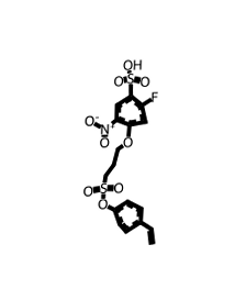 C=Cc1ccc(OS(=O)(=O)CCCOc2cc(F)c(S(=O)(=O)O)cc2[N+](=O)[O-])cc1